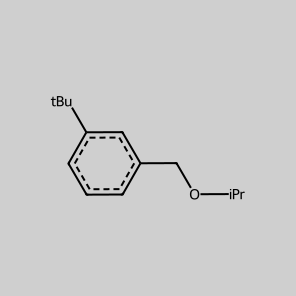 CC(C)OCc1cccc(C(C)(C)C)c1